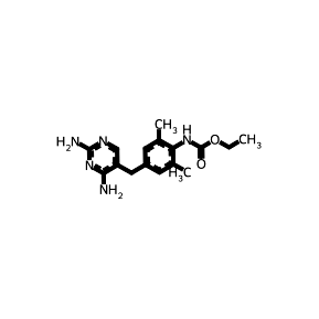 CCOC(=O)Nc1c(C)cc(Cc2cnc(N)nc2N)cc1C